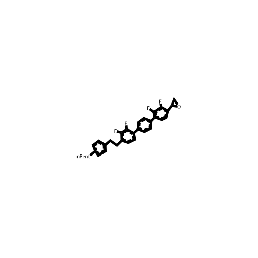 CCCCCc1ccc(CCc2ccc(-c3ccc(-c4ccc(C5CO5)c(F)c4F)cc3)c(F)c2F)cc1